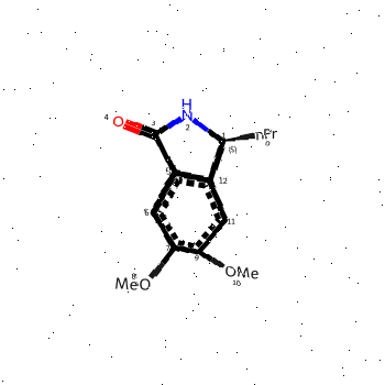 CCC[C@@H]1NC(=O)c2cc(OC)c(OC)cc21